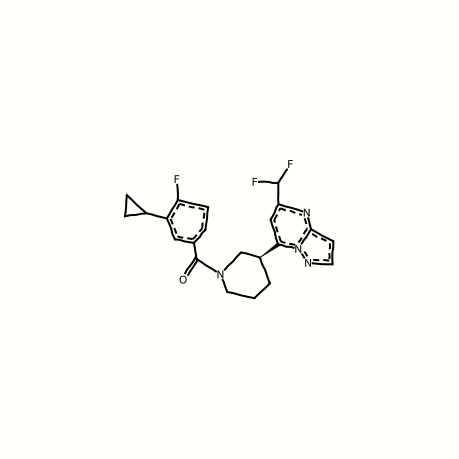 O=C(c1ccc(F)c(C2CC2)c1)N1CCC[C@H](c2cc(C(F)F)nc3ccnn23)C1